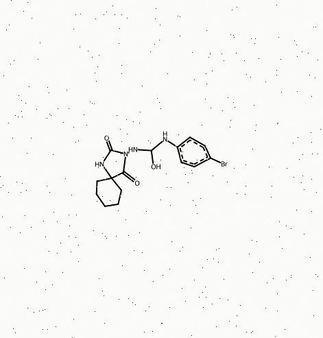 O=C1NC2(CCCCC2)C(=O)N1NC(O)Nc1ccc(Br)cc1